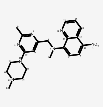 Cc1nc(CN(C)c2ccc([N+](=O)[O-])c3cccnc23)cc(N2CCN(C)CC2)n1